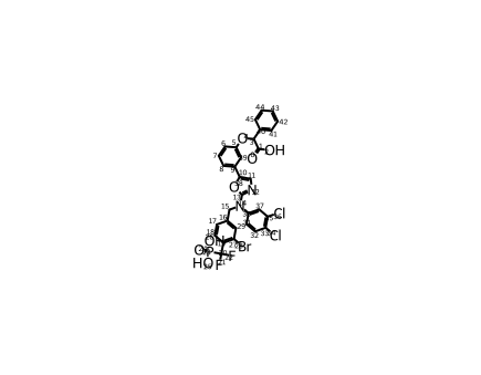 O=C(O)C(Oc1cccc(-c2cnc(N(Cc3ccc(C(F)(F)P(=O)(O)O)c(Br)c3)c3ccc(Cl)c(Cl)c3)o2)c1)c1ccccc1